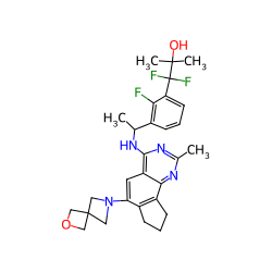 Cc1nc(NC(C)c2cccc(C(F)(F)C(C)(C)O)c2F)c2cc(N3CC4(COC4)C3)c3c(c2n1)CCC3